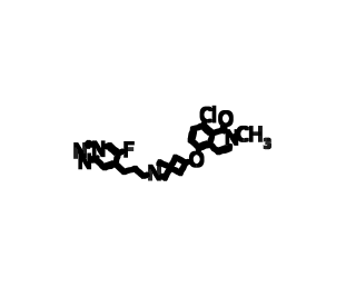 Cn1ccc2c(OC3CC4(C3)CN(CCCc3cc5nncn5cc3F)C4)ccc(Cl)c2c1=O